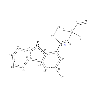 C=CC(C)(C)/N=C(\CC)c1cc(C)cc2c1oc1ccccc12